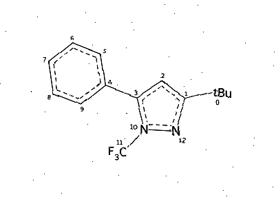 CC(C)(C)c1cc(-c2ccccc2)n(C(F)(F)F)n1